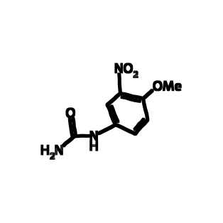 COc1ccc(NC(N)=O)cc1[N+](=O)[O-]